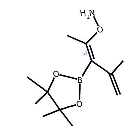 C=C(C)/C(B1OC(C)(C)C(C)(C)O1)=C(/C)ON